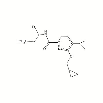 CCOC(=O)CC(CC)NC(=O)c1ccc(C2CC2)c(OCC2CC2)n1